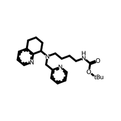 CC(C)(C)OC(=O)NCCCCN(Cc1ccccn1)C1CCCc2cccnc21